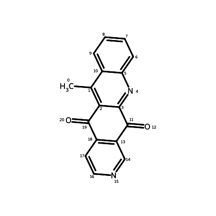 Cc1c2c(nc3ccccc13)C(=O)c1cnccc1C2=O